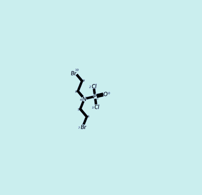 O=P(Cl)(Cl)N(CCBr)CCBr